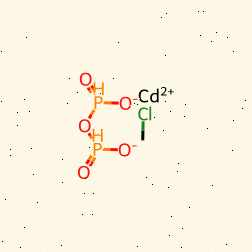 CCl.O=[PH]([O-])O[PH](=O)[O-].[Cd+2]